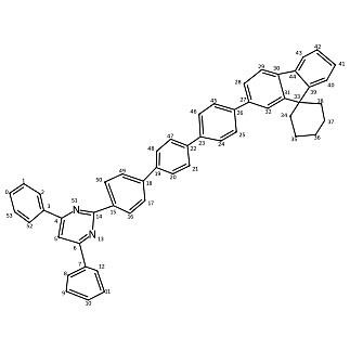 c1ccc(-c2cc(-c3ccccc3)nc(-c3ccc(-c4ccc(-c5ccc(-c6ccc7c(c6)C6(CCCCC6)c6ccccc6-7)cc5)cc4)cc3)n2)cc1